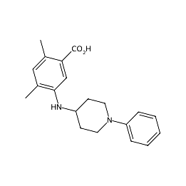 Cc1cc(C)c(C(=O)O)cc1NC1CCN(c2ccccc2)CC1